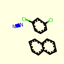 Clc1cccc(Cl)c1.N#N.c1ccc2ccccc2c1